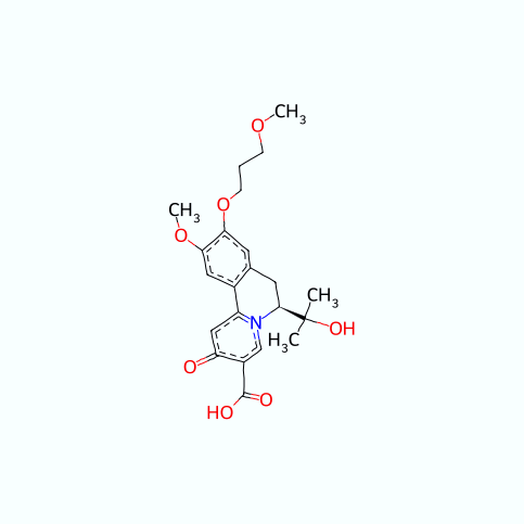 COCCCOc1cc2c(cc1OC)-c1cc(=O)c(C(=O)O)cn1[C@H](C(C)(C)O)C2